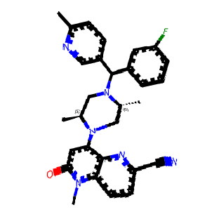 Cc1ccc(C(c2cccc(F)c2)N2C[C@H](C)N(c3cc(=O)n(C)c4ccc(C#N)nc34)C[C@H]2C)cn1